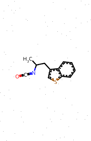 CC(Cc1csc2ccccc12)N=C=O